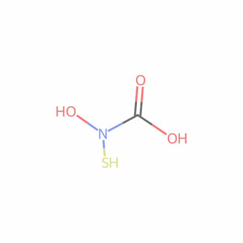 O=C(O)N(O)S